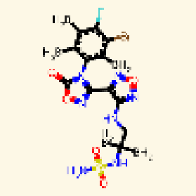 Bc1c(B)c(-n2c(-c3nonc3NCC(B)(B)NS(N)(=O)=O)noc2=O)c(B)c(Br)c1F